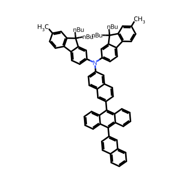 CCCCC1(CCCC)c2cc(C)ccc2-c2ccc(N(c3ccc4c(c3)C(CCCC)(CCCC)c3cc(C)ccc3-4)c3ccc4cc(-c5c6ccccc6c(-c6ccc7ccccc7c6)c6ccccc56)ccc4c3)cc21